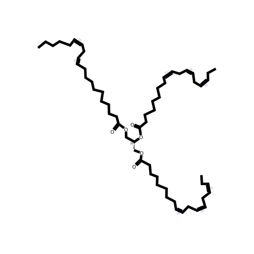 CC/C=C\C/C=C\C/C=C\CCCCCCCC(=O)OC[C@H](COC(=O)CCCCCCCCC/C=C\C/C=C\CCCCC)OC(=O)CCCCCCC/C=C\C/C=C\C/C=C\CC